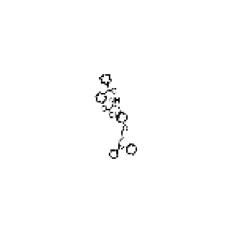 O=C(c1ccccc1)c1ccccc1N[C@@H](Cc1ccc(OCCCN(c2ccccc2)C2CCCC2)cc1)C(=O)O